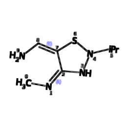 C/N=C1/NN(C(C)C)S/C1=C/N